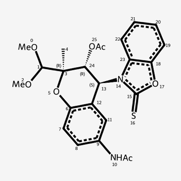 COC(OC)[C@]1(C)Oc2ccc(NC(C)=O)cc2[C@H](n2c(=S)oc3ccccc32)[C@H]1OC(C)=O